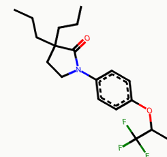 CCCC1(CCC)CCN(c2ccc(OC(C)C(F)(F)F)cc2)C1=O